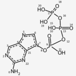 Nc1ncc2ncn(OP(=O)(O)OP(=O)(O)OP(=O)(O)O)c2n1